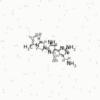 C=C(C1CC1)N1CCN(c2nc(C3CC3)c(-c3cc(CCN)nc(N)n3)cc2N)C[C@H]1C1CC1